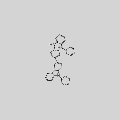 c1ccc(Nc2ccccc2Nc2ccc(-c3ccc4c(c3)c3ccccc3n4-c3ccccc3)cc2)cc1